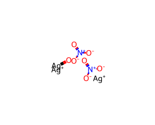 O=[N+]([O-])[O-].O=[N+]([O-])[O-].[Ag+].[Ag+].[O]=[Ag]